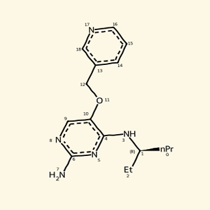 CCC[C@@H](CC)Nc1nc(N)ncc1OCc1cccnc1